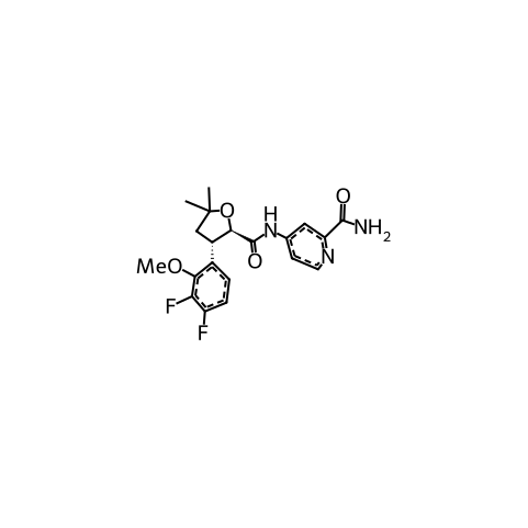 COc1c([C@@H]2CC(C)(C)O[C@H]2C(=O)Nc2ccnc(C(N)=O)c2)ccc(F)c1F